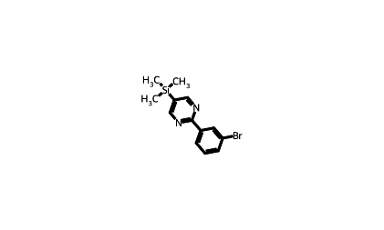 C[Si](C)(C)c1cnc(-c2cccc(Br)c2)nc1